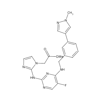 COC(=O)Cn1ccnc1Nc1ncc(F)c(NCc2cccc(-c3cnn(C)c3)c2)n1